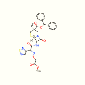 C=CC1(C(=O)OC(c2ccccc2)c2ccccc2)CS[C@@H]2C(NC(=O)C(=NOCC(=O)OC(C)(C)C)c3cnsn3)C(=O)N2C1